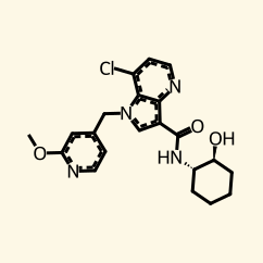 COc1cc(Cn2cc(C(=O)N[C@H]3CCCC[C@@H]3O)c3nccc(Cl)c32)ccn1